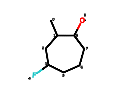 CC1CC(F)CCCC1[O]